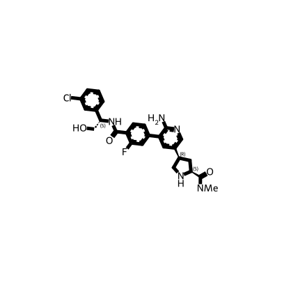 CNC(=O)[C@@H]1C[C@H](c2cnc(N)c(-c3ccc(C(=O)N[C@H](CO)c4cccc(Cl)c4)c(F)c3)c2)CN1